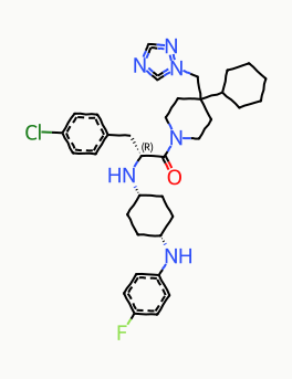 O=C([C@@H](Cc1ccc(Cl)cc1)N[C@H]1CC[C@@H](Nc2ccc(F)cc2)CC1)N1CCC(Cn2cncn2)(C2CCCCC2)CC1